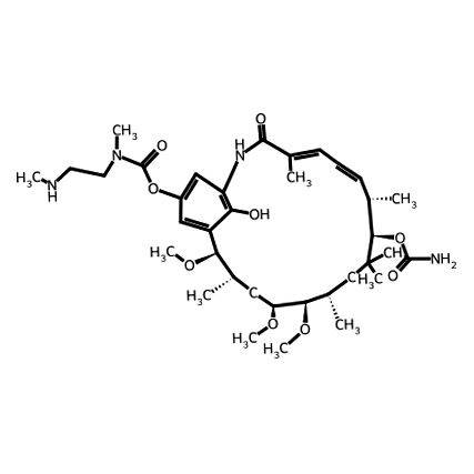 CNCCN(C)C(=O)Oc1cc2c(O)c(c1)[C@H](OC)[C@@H](C)C[C@H](OC)[C@H](OC)[C@@H](C)CC(C)(C)[C@H](OC(N)=O)[C@@H](C)/C=C\C=C(/C)C(=O)N2